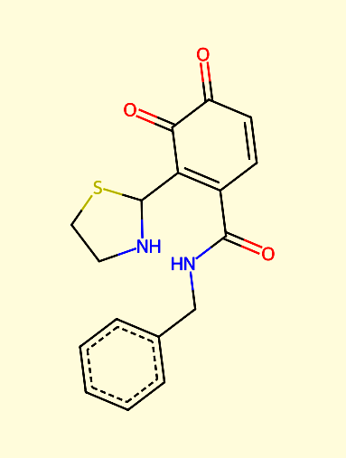 O=C1C=CC(C(=O)NCc2ccccc2)=C(C2NCCS2)C1=O